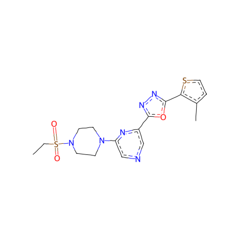 CCS(=O)(=O)N1CCN(c2cncc(-c3nnc(-c4sccc4C)o3)n2)CC1